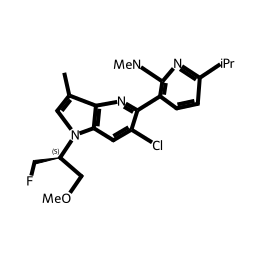 CNc1nc(C(C)C)ccc1-c1nc2c(C)cn([C@H](CF)COC)c2cc1Cl